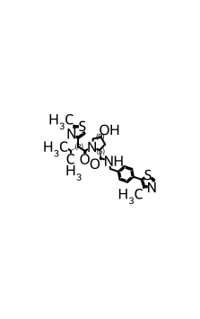 Cc1nc([C@H](C(=O)N2C[C@H](O)C[C@H]2C(=O)NCc2ccc(-c3scnc3C)cc2)C(C)C)cs1